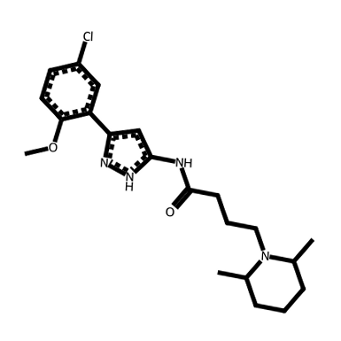 COc1ccc(Cl)cc1-c1cc(NC(=O)CCCN2C(C)CCCC2C)[nH]n1